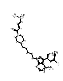 C#C/C(=C\C(=C/CCC)c1nn(CCCCCN2CCN(C(=O)/C=C/CN(C)C)CC2)c2ncnc(N)c12)CC